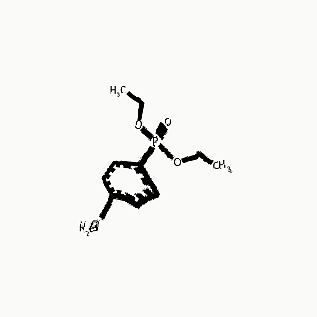 Bc1ccc(P(=O)(OCC)OCC)cc1